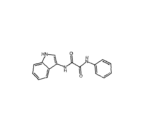 O=C(Nc1ccccc1)C(=O)Nc1c[nH]c2ccccc12